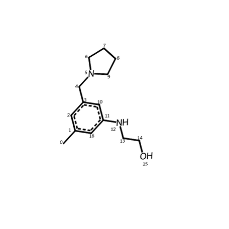 Cc1cc(CN2CCCC2)cc(NCCO)c1